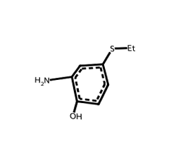 CCSc1ccc(O)c(N)c1